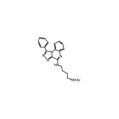 CC(=O)NCCCCNc1nc2ccccc2n2c(-c3ccccc3)nnc12